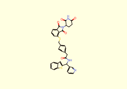 O=C1CCC(N2C(=O)c3cccc(SCc4ccc(CC(=O)NC(c5cccnc5)c5cc6ccccc6s5)cc4)c3C2=O)C(=O)N1